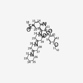 CCOc1ccc(S(=O)(=O)c2cnc3ccc([S+](C)[O-])cc3c2N2CCC(N3CCC(N4CCCCC4)CC3)CC2)cc1